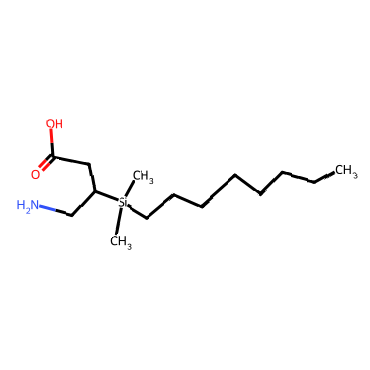 CCCCCCCC[Si](C)(C)C(CN)CC(=O)O